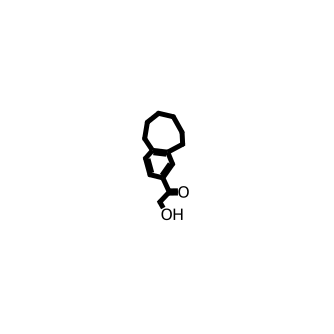 O=C(CO)c1ccc2c(c1)CCCCCC2